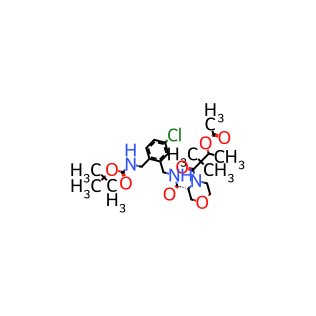 CC(=O)OC(C)C(C)(C)C(=O)N1CCOC[C@@H]1C(=O)NCc1cc(Cl)ccc1CNC(=O)OC(C)(C)C